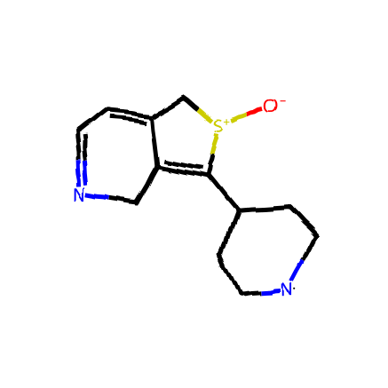 [O-][S+]1CC2=CC=NCC2=C1C1CC[N]CC1